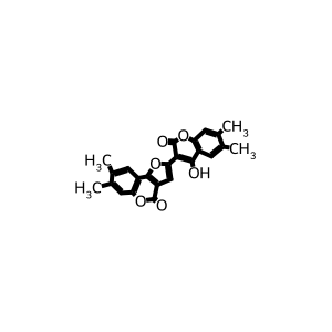 Cc1cc2oc(=O)c(-c3cc4c(=O)oc5cc(C)c(C)cc5c4o3)c(O)c2cc1C